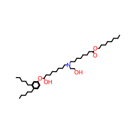 CCCCCCCCOC(=O)CCCCCCCN(CCO)CCCCCCCC(O)Oc1ccc(CCCCC)c(CCCCC)c1